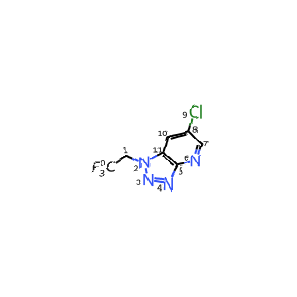 FC(F)(F)Cn1nnc2ncc(Cl)cc21